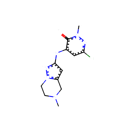 CN1CCn2nc(Nc3cc(Cl)nn(C)c3=O)cc2C1